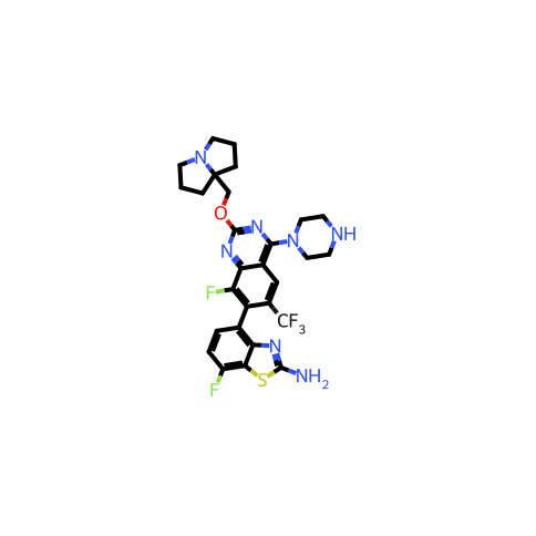 Nc1nc2c(-c3c(C(F)(F)F)cc4c(N5CCNCC5)nc(OCC56CCCN5CCC6)nc4c3F)ccc(F)c2s1